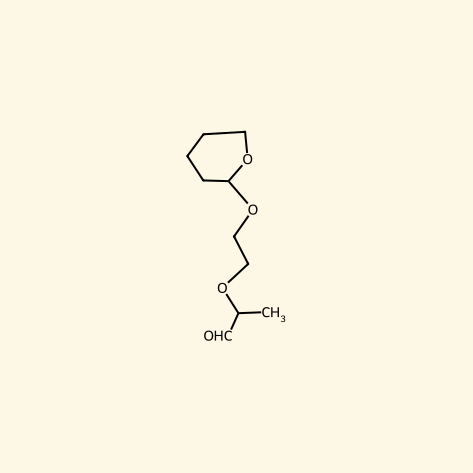 CC(C=O)OCCOC1CCCCO1